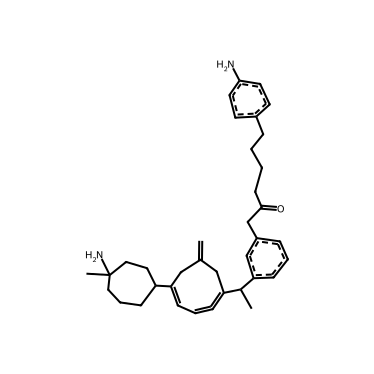 C=C1CC(C(C)c2cccc(CC(=O)CCCCc3ccc(N)cc3)c2)=C=C/C=C(/C2CCCC(C)(N)CC2)C1